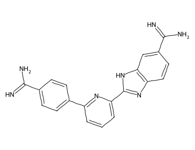 N=C(N)c1ccc(-c2cccc(-c3nc4ccc(C(=N)N)cc4[nH]3)n2)cc1